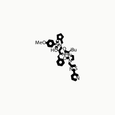 CC[C@H](C)[C@@H](C(=O)N[C@@H](Cc1ccccc1)[C@H](O)CN(CC1CCCC1)S(=O)(=O)c1ccc(OC)cc1)N1CCN(Cc2csc(-c3cccnc3)n2)C1=O